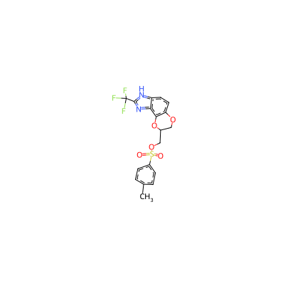 Cc1ccc(S(=O)(=O)OCC2COc3ccc4[nH]c(C(F)(F)F)nc4c3O2)cc1